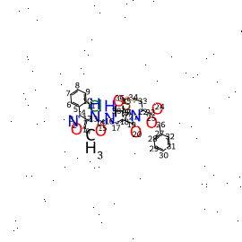 Cc1onc(-c2ccccc2Cl)c1NC(=O)NC=C1C(=O)N2C(C(=O)OCc3ccccc3)CC[S+]([O-])[C@@H]12